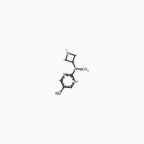 CN(c1ncc(C(C)(C)C)cn1)C1COC1